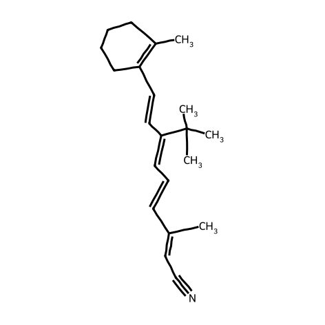 CC1=C(/C=C/C(=C/C=C/C(C)=C/C#N)C(C)(C)C)CCCC1